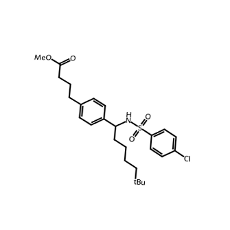 COC(=O)CCCc1ccc(C(CCCCC(C)(C)C)NS(=O)(=O)c2ccc(Cl)cc2)cc1